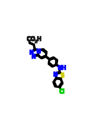 O=C(O)CCc1nnc2cc(-c3ccc(Nc4nc5ccc(Cl)cc5s4)cc3)ccn12